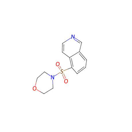 O=S(=O)(c1cccc2cnccc12)N1CCOCC1